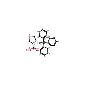 O=C(O)C1CCOC1.[Li][Si](c1ccccc1)(c1ccccc1)c1ccccc1